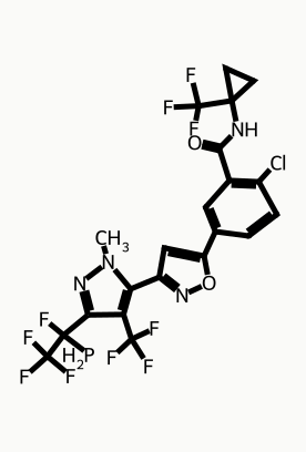 Cn1nc(C(F)(P)C(F)(F)F)c(C(F)(F)F)c1-c1cc(-c2ccc(Cl)c(C(=O)NC3(C(F)(F)F)CC3)c2)on1